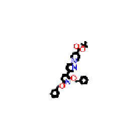 CC(C)(C)OC(=O)C1CCN(c2ccc(-c3ccc(OCc4ccccc4)nc3OCc3ccccc3)cn2)CC1